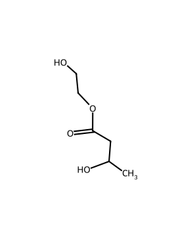 CC(O)CC(=O)OCCO